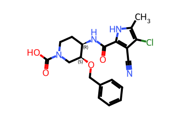 Cc1[nH]c(C(=O)N[C@@H]2CCN(C(=O)O)C[C@@H]2OCc2ccccc2)c(C#N)c1Cl